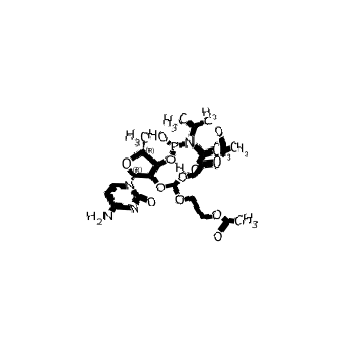 CC(=O)OCCOC(OCCOC(C)=O)OC1C(OP(O)N(C(C)C)C(C)C)[C@@H](C)O[C@H]1n1ccc(N)nc1=O